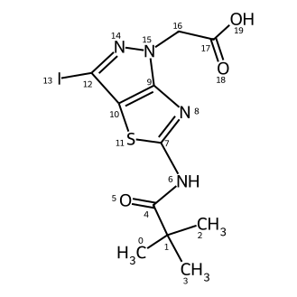 CC(C)(C)C(=O)Nc1nc2c(s1)c(I)nn2CC(=O)O